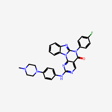 CN1CCN(c2ccc(Nc3ncc4c(=O)n(-c5ccc(F)cc5)c5nc6ccccc6n5c4n3)cc2)CC1